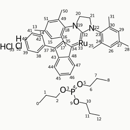 CCCOP(OCCC)OCCC.Cc1cc(C)c(N2CCN(c3c(C)cc(C)cc3C)[C]2=[Ru]=[C]2C=C(c3ccccc3)c3ccccc32)c(C)c1.Cl.Cl